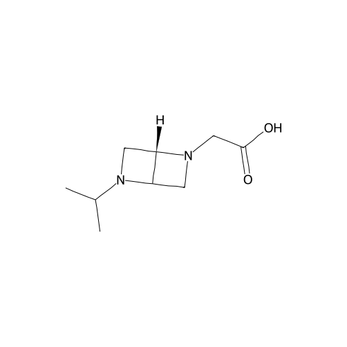 CC(C)N1C[C@H]2C1CN2CC(=O)O